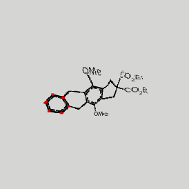 CCOC(=O)C1(C(=O)OCC)Cc2c(c(OC)c3c(c2OC)C2c4ccccc4C3c3ccccc32)C1